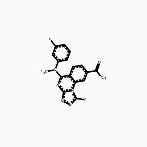 CN(c1cccc(F)c1)c1nc2nnc(F)n2c2cc(C(=O)O)ccc12